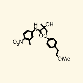 COCCc1ccc(OCC(C)(O)C(=O)Nc2ccc([N+](=O)[O-])c(C)c2)cc1